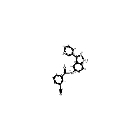 N#Cc1cccc(C(=O)Nc2ccc3[nH]nc(-c4cccnc4)c3c2)c1